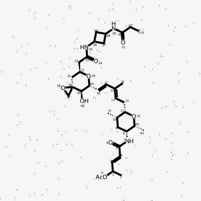 CC(=O)OC(C)C=CC(=O)N[C@@H]1C[C@H](C)[C@H](CC=C(C)C=C[C@H]2O[C@H](CC(=O)NC3CC(NC(=O)CI)C3)C[C@@]3(CO3)[C@@H]2O)O[C@@H]1C